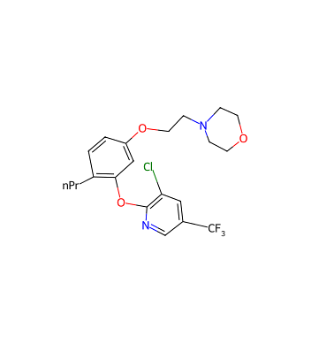 [CH2]CCc1ccc(OCCN2CCOCC2)cc1Oc1ncc(C(F)(F)F)cc1Cl